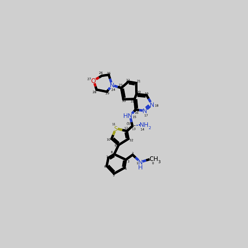 CNCc1ccccc1-c1csc([C@@H](N)Nc2nncc3ccc(N4CCOCC4)cc23)c1